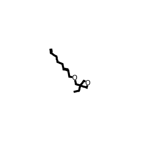 C=CCCCC=CCOCC1(CC)COC1